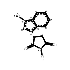 O=C1CCC(=O)N1Cl.On1nnc2ccccc21